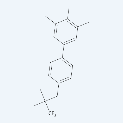 Cc1cc(-c2ccc(CC(C)(C)C(F)(F)F)cc2)cc(C)c1C